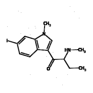 CCC(NC)C(=O)c1cn(C)c2cc(I)ccc12